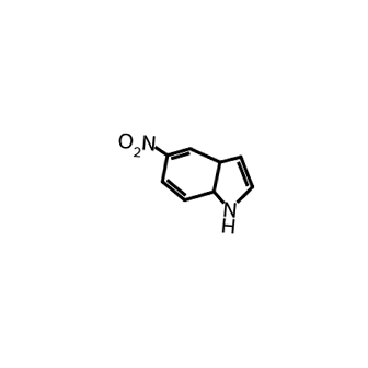 O=[N+]([O-])C1=CC2C=CNC2C=C1